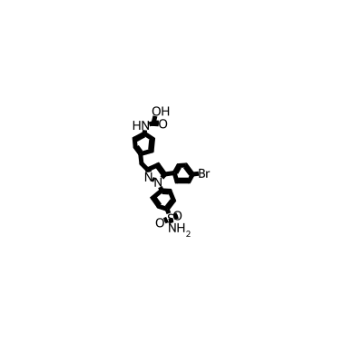 NS(=O)(=O)c1ccc(-n2nc(Cc3ccc(NC(=O)O)cc3)cc2-c2ccc(Br)cc2)cc1